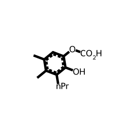 CCCc1c(C)c(C)cc(OC(=O)O)c1O